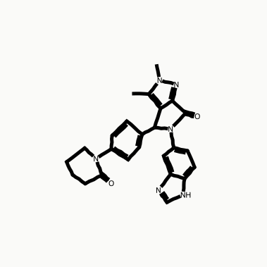 Cc1c2c(nn1C)C(=O)N(c1ccc3[nH]cnc3c1)C2c1ccc(N2CCCCC2=O)cc1